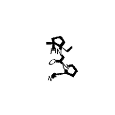 CC[C@]1(NCC(=O)N2CCC[C@H]2C#N)CCCC1(C)C